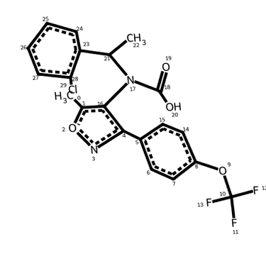 Cc1onc(-c2ccc(OC(F)(F)F)cc2)c1N(C(=O)O)C(C)c1ccccc1Cl